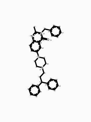 Cc1nc2ccc(N3CCN(CCC(c4ccccc4)c4ccccc4)CC3)cc2c(=O)n1Cc1ccccc1